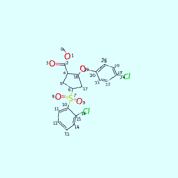 COC(=O)C1CC(S(=O)(=O)c2ccccc2Cl)CC1Oc1ccc(Cl)cc1